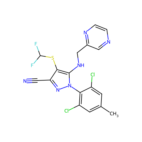 Cc1cc(Cl)c(-n2nc(C#N)c(SC(F)F)c2NCc2cnccn2)c(Cl)c1